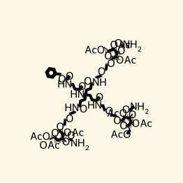 CC(=O)OC[C@H]1O[C@H](OCCOCCNC(=O)CCC(CCC(=O)NCCOCCO[C@H]2O[C@H](COC(C)=O)[C@@H](OC(C)=O)[C@H](OC(N)=O)[C@@H]2OC(C)=O)(CCC(=O)NCCOCCO[C@H]2O[C@H](COC(C)=O)[C@@H](OC(C)=O)[C@H](OC(N)=O)[C@@H]2OC(C)=O)NC(=O)CCNC(=O)OCc2ccccc2)[C@@H](OC(C)=O)[C@@H](OC(N)=O)[C@@H]1OC(C)=O